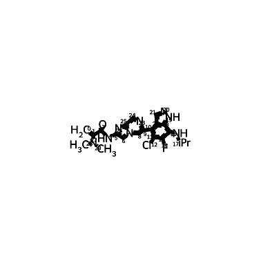 C=C(C(=O)Nc1cn2cc(-c3c(Cl)c(F)c(NC(C)C)c4[nH]ncc34)ncc2n1)N(C)C